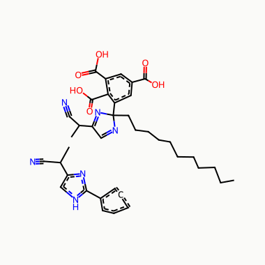 CC(C#N)c1c[nH]c(-c2ccccc2)n1.CCCCCCCCCCCC1(c2cc(C(=O)O)cc(C(=O)O)c2C(=O)O)N=CC(C(C)C#N)=N1